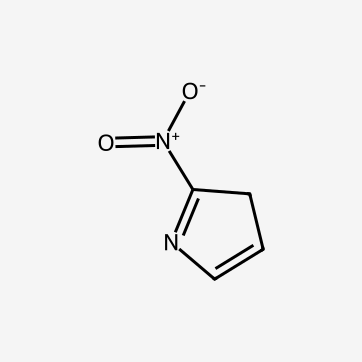 O=[N+]([O-])C1=NC=CC1